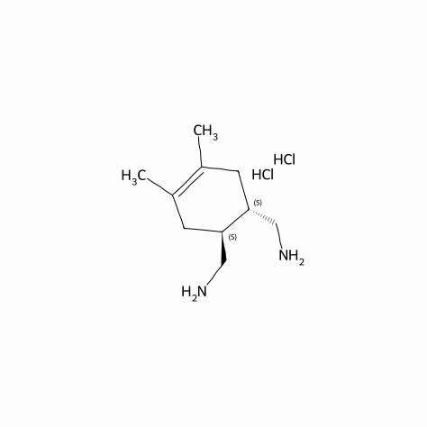 CC1=C(C)C[C@H](CN)[C@@H](CN)C1.Cl.Cl